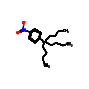 CCC[CH2][Sn]([CH2]CCC)([CH2]CCC)[c]1ccc([N+](=O)[O-])cc1